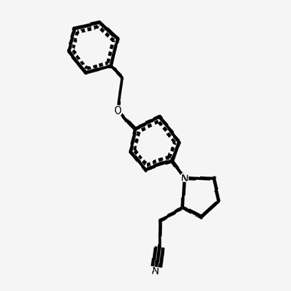 N#CCC1CCCN1c1ccc(OCc2ccccc2)cc1